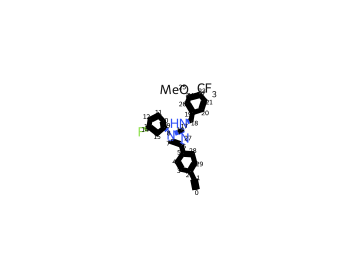 C#Cc1ccc(-c2cn(-c3cccc(F)c3)c(NCc3ccc(C(F)(F)F)c(OC)c3)n2)cc1